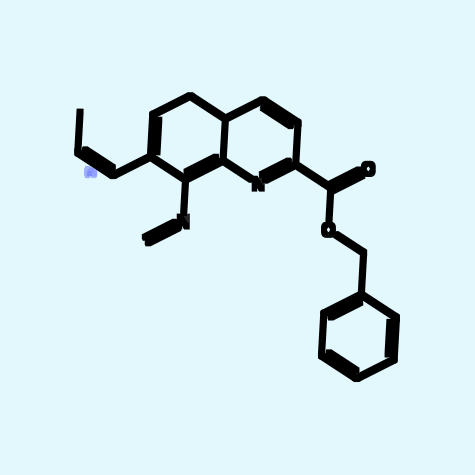 C=NC1=C2N=C(C(=O)OCc3ccccc3)C=CC2CC=C1/C=C\C